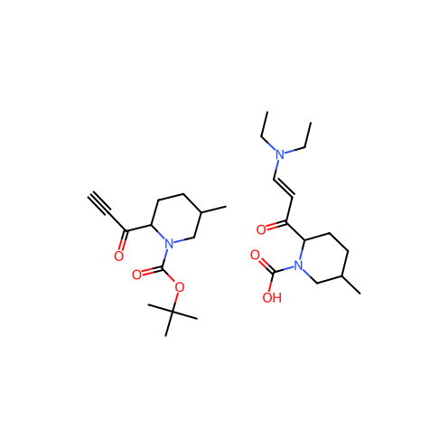 C#CC(=O)C1CCC(C)CN1C(=O)OC(C)(C)C.CCN(C=CC(=O)C1CCC(C)CN1C(=O)O)CC